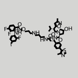 Cc1cc([C@H](C(=O)N2C[C@H](O)C[C@H]2C(=O)N[C@@H](CC(=O)NCCCCNCCCONC(=O)c2ccc(F)c(F)c2Nc2ccc(I)cc2F)c2ccc(-c3scnc3C)cc2)C(C)C)on1